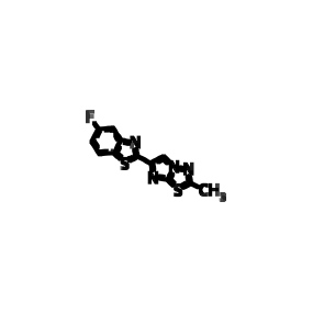 Cc1nn2cc(-c3nc4cc(F)ccc4s3)nc2s1